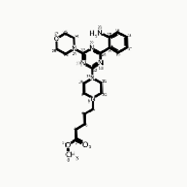 COC(=O)CCCCN1CCN(c2nc(-c3ccccc3N)nc(N3CCOCC3)n2)CC1